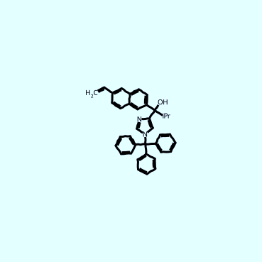 C=Cc1ccc2cc(C(O)(c3cn(C(c4ccccc4)(c4ccccc4)c4ccccc4)cn3)C(C)C)ccc2c1